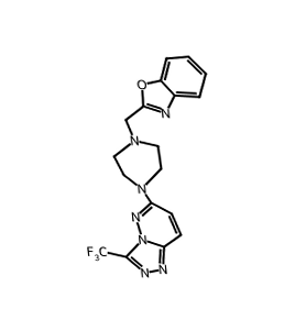 FC(F)(F)c1nnc2ccc(N3CCN(Cc4nc5ccccc5o4)CC3)nn12